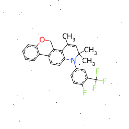 CC1=CC(C)(C)N(c2ccc(F)c(C(F)(F)F)c2)c2ccc3c(c21)COc1ccccc1-3